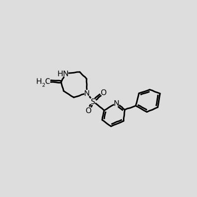 C=C1CCN(S(=O)(=O)c2cccc(-c3ccccc3)n2)CCN1